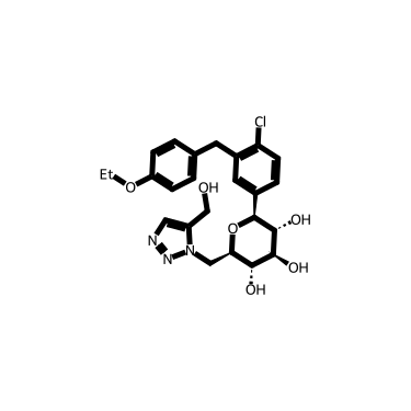 CCOc1ccc(Cc2cc([C@@H]3O[C@H](Cn4nncc4CO)[C@@H](O)[C@H](O)[C@H]3O)ccc2Cl)cc1